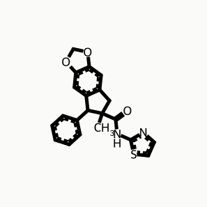 CC1(C(=O)Nc2nccs2)Cc2cc3c(cc2C1c1ccccc1)OCO3